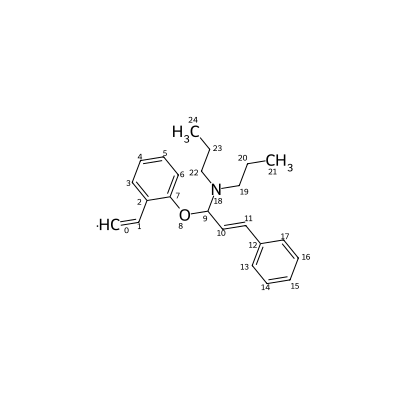 [CH]=Cc1ccccc1OC(/C=C/c1ccccc1)N(CCC)CCC